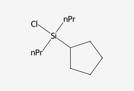 CCC[Si](Cl)(CCC)C1CCCC1